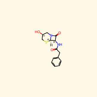 O=C(Cc1ccccc1)N[C@@H]1C(=O)N2C[C@H](O)CS[C@H]12